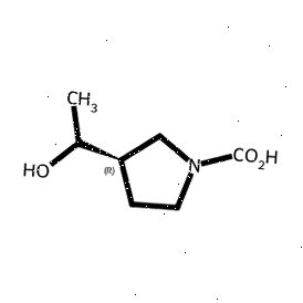 CC(O)[C@@H]1CCN(C(=O)O)C1